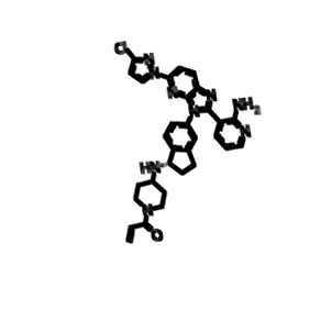 C=CC(=O)N1CCC(N[C@H]2CCc3cc(-n4c(-c5cccnc5N)nc5ccc(-n6ccc(Cl)n6)nc54)ccc32)CC1